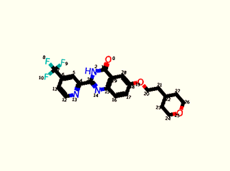 O=c1[nH]c(-c2cc(C(F)(F)F)ccn2)nc2ccc(OCCC3CCOCC3)cc12